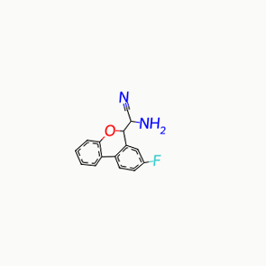 N#CC(N)C1Oc2ccccc2-c2ccc(F)cc21